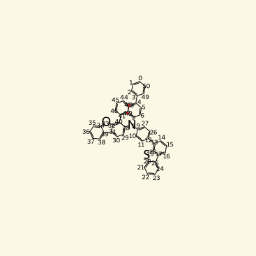 c1ccc(-c2ccc(N(c3ccc(-c4cccc5c4sc4ccccc45)cc3)c3ccc4c(oc5ccccc54)c3-c3ccccc3)cc2)cc1